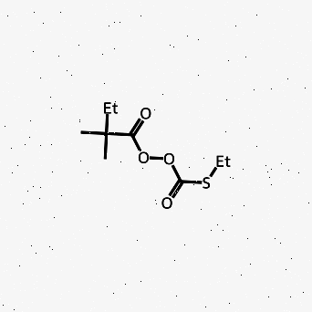 CCSC(=O)OOC(=O)C(C)(C)CC